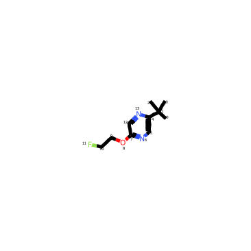 CC(C)(C)c1cnc(OCCF)cn1